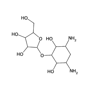 NC1CC(N)C(O)C(OC2OC(CO)C(O)C2O)C1O